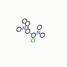 Clc1cc(-c2ccc3c(c2)c2ccc4ccccc4c2n3-c2ccccc2)cc(N(c2ccccc2)c2ccccc2)c1